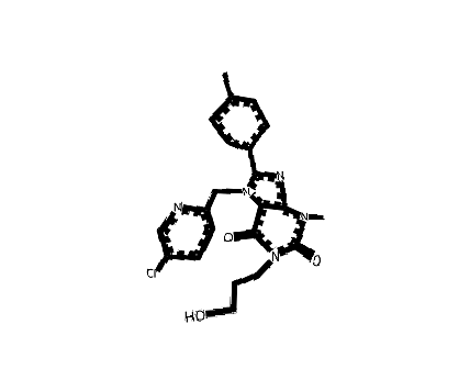 Cc1ccc(-c2nc3c(c(=O)n(CCCO)c(=O)n3C)n2Cc2ccc(Cl)cn2)cc1